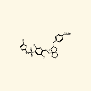 COc1ccc(C[C@@H]2CN3CCC[C@]3(CNc3cc(F)c(S(=O)(=O)Nc4ncc(F)s4)cc3Cl)C2)cc1